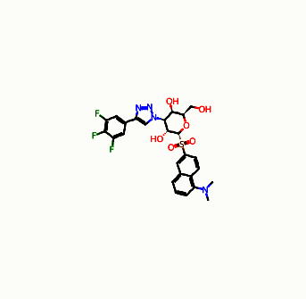 CN(C)c1cccc2cc(S(=O)(=O)[C@H]3O[C@H](CO)[C@H](O)[C@H](n4cc(-c5cc(F)c(F)c(F)c5)nn4)[C@H]3O)ccc12